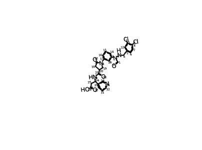 O=CN(NCc1ccc(Cl)c(Cl)c1)c1cccc(N2CC(C(=O)NC(CC(=O)O)c3cccnc3)CC2=O)c1